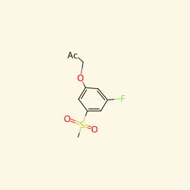 CC(=O)COc1cc(F)cc(S(C)(=O)=O)c1